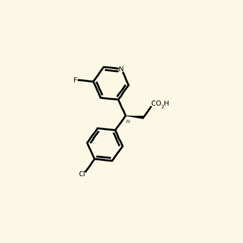 O=C(O)C[C@@H](c1ccc(Cl)cc1)c1cncc(F)c1